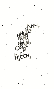 C[C@H](N[P@](=O)(OC[C@@]1(C#N)OC[C@](O)(c2ccc3c(N)ncnn23)[C@@H]1O)Oc1ccccc1)C(=O)OCCC(C)(C)C